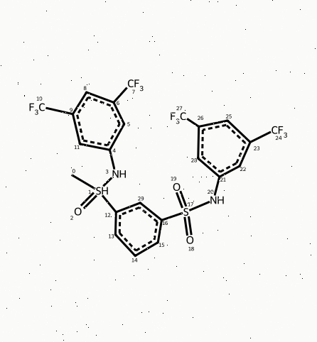 C[SH](=O)(Nc1cc(C(F)(F)F)cc(C(F)(F)F)c1)c1cccc(S(=O)(=O)Nc2cc(C(F)(F)F)cc(C(F)(F)F)c2)c1